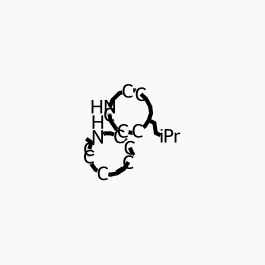 CC(C)CCC1CCCCCCCCNCCCCCCC1.CC1CCCCCCC=CCCCCCCCN1